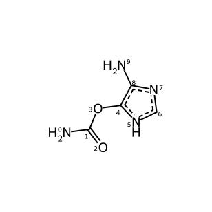 NC(=O)Oc1[nH]cnc1N